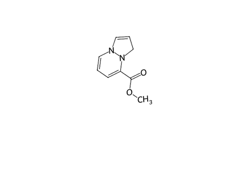 COC(=O)C1=CC=CN2C=CCN12